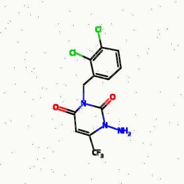 Nn1c(C(F)(F)F)cc(=O)n(Cc2cccc(Cl)c2Cl)c1=O